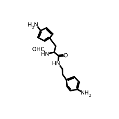 Nc1ccc(CCNC(=O)C(Cc2ccc(N)cc2)NC=O)cc1